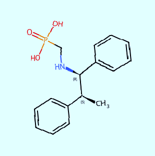 C[C@@H](c1ccccc1)[C@@H](NCP(=O)(O)O)c1ccccc1